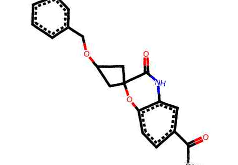 COC(=O)c1ccc2c(c1)NC(=O)C1(CC(OCc3ccccc3)C1)O2